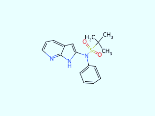 CC(C)(C)S(=O)(=O)N(c1ccccc1)c1cc2cccnc2[nH]1